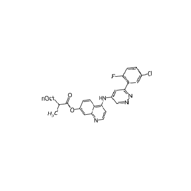 CCCCCCCCC(C)C(=O)Oc1ccc2c(Nc3cnnc(-c4cc(Cl)ccc4F)c3)ccnc2c1